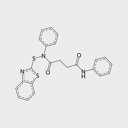 O=C(CCC(=O)N(Sc1nc2ccccc2s1)c1ccccc1)Nc1ccccc1